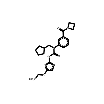 O=C(O)CSc1cnc(NC(=O)N(CC2CCCC2)c2cccc(C(=O)N3CCC3)c2)s1